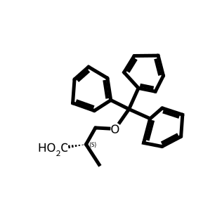 C[C@@H](COC(c1ccccc1)(c1ccccc1)c1ccccc1)C(=O)O